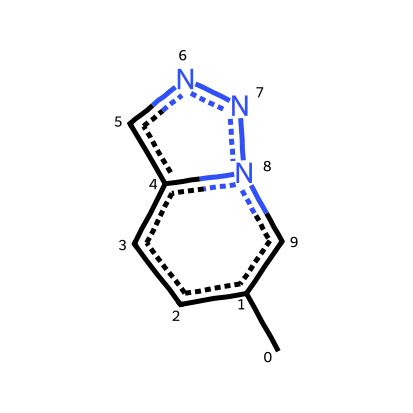 Cc1ccc2cnnn2c1